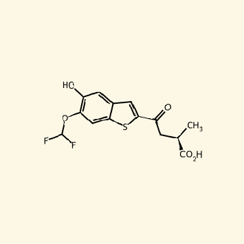 C[C@H](CC(=O)c1cc2cc(O)c(OC(F)F)cc2s1)C(=O)O